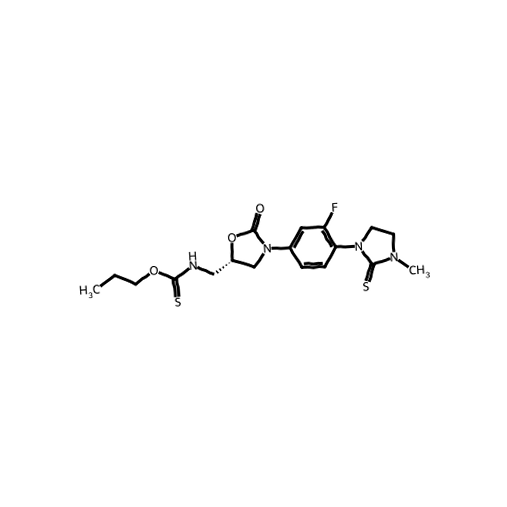 CCCOC(=S)NC[C@H]1CN(c2ccc(N3CCN(C)C3=S)c(F)c2)C(=O)O1